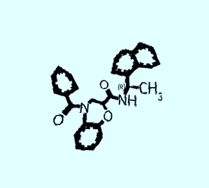 C[C@@H](NC(=O)C1CN(C(=O)c2ccccc2)c2ccccc2O1)c1cccc2ccccc12